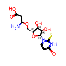 NC(CC(=O)O)OC[C@H]1O[C@@H](n2ccc(=O)[nH]c2=S)[C@H](O)[C@@H]1O